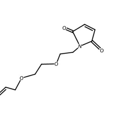 O=CCOCCOCCN1C(=O)C=CC1=O